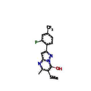 CSc1c(C)nc2cc(-c3ccc(C(F)(F)F)cc3F)nn2c1O